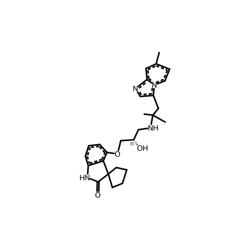 Cc1ccn2c(CC(C)(C)NC[C@H](O)COc3cccc4c3C3(CCCC3)C(=O)N4)cnc2c1